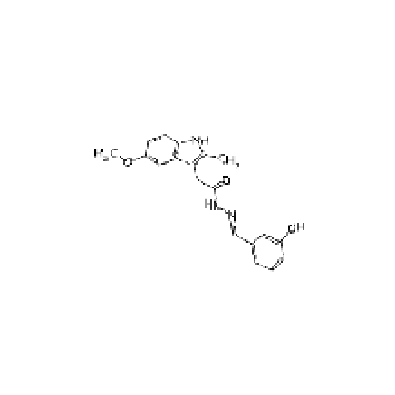 COc1ccc2[nH]c(C)c(CC(=O)N/N=C/c3cccc(O)c3)c2c1